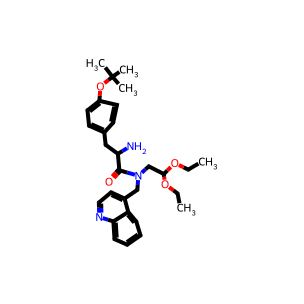 CCOC(CN(Cc1ccnc2ccccc12)C(=O)C(N)Cc1ccc(OC(C)(C)C)cc1)OCC